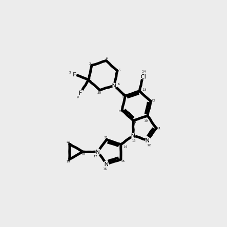 FC1(F)CCCN(c2cc3c(cnn3-c3cnn(C4CC4)c3)cc2Cl)C1